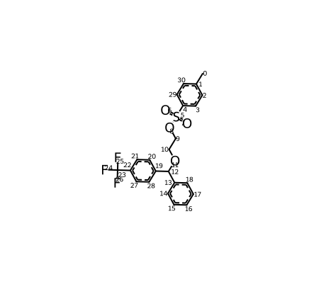 Cc1ccc(S(=O)(=O)OCCOC(c2ccccc2)c2ccc(C(F)(F)F)cc2)cc1